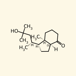 C[C@H](CC(C)(C)O)[C@H]1CC[C@@H]2C(=O)CCC[C@@]21C